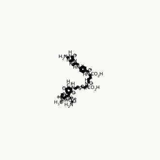 CO[C@@]12[C@H](COC(N)=O)C3=C(C(=O)C(C)=C(NCCSSCC(NC(=O)CCC(NC(=O)c4ccc(NCc5cnc6nc(N)[nH]c(=O)c6n5)cc4)C(=O)O)C(=O)O)C3=O)N1C[C@H]1[C@@H]2N1C